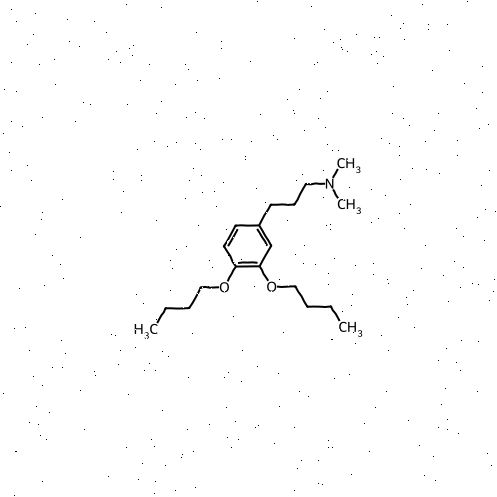 CCCCOc1ccc(CCCN(C)C)cc1OCCCC